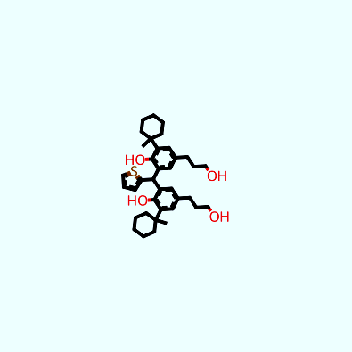 CC1(c2cc(CCCO)cc(C(c3cccs3)c3cc(CCCO)cc(C4(C)CCCCC4)c3O)c2O)CCCCC1